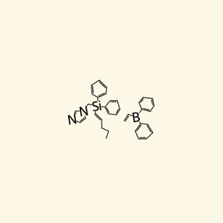 C=CB(c1ccccc1)c1ccccc1.CCCC=C[Si](Cn1ccnc1)(c1ccccc1)c1ccccc1